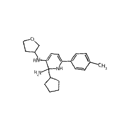 Cc1ccc(C2=CC=C(NC3CCOC3)C(N)(C3CCCC3)N2)cc1